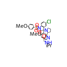 COc1ccc(S(=O)(=O)N2C(=O)C(c3ccc(CNC(C)C)cc3OC)(N3CCCC3c3ncco3)c3cc(Cl)ccc32)cc1